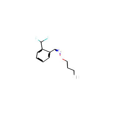 CCCCO/N=[C]\c1ccccc1C(F)F